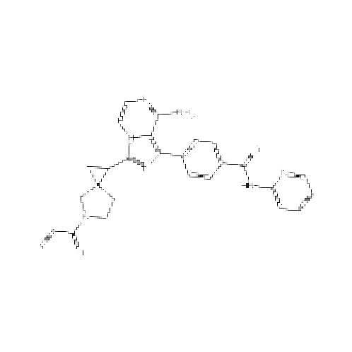 C=CC(=O)N1CCC2(CC2c2nc(-c3ccc(C(=O)Nc4ccccn4)cc3)c3c(N)nccn23)C1